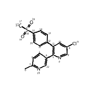 Cc1ccc(-c2ncc(Cl)cc2-c2ccc(S([11CH3])(=O)=O)cc2)cn1